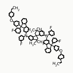 C=Cc1ccc(Oc2ccc(C3(c4cccc(F)c4)c4ccccc4-c4ccc(N(c5cccc(F)c5)c5ccc6c(c5)C5(CC6(C)C)CC(C)(C)c6ccc(N(c7cccc(F)c7)c7ccc8c(c7)C(c7ccc(Oc9ccc(C=C)cc9)cc7)(c7cccc(F)c7)c7ccccc7-8)cc65)cc43)cc2)cc1